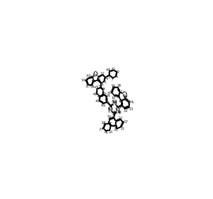 C1=CCC(c2cc(C3=Cc4cc(-c5nc(-c6cc7c(c8ccccc68)CCC=C7)nc(-c6cccc7oc8ccccc8c67)n5)ccc4CC3)c3c(c2)oc2ccccc23)C=C1